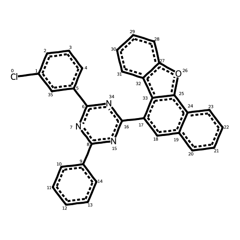 Clc1cccc(-c2nc(-c3ccccc3)nc(-c3cc4ccccc4c4oc5ccccc5c34)n2)c1